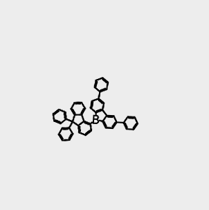 c1ccc(-c2ccc3c(c2)-c2cc(-c4ccccc4)ccc2B3c2cccc3c2-c2ccccc2C3(c2ccccc2)c2ccccc2)cc1